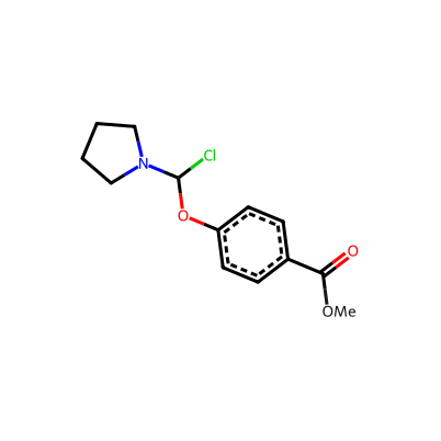 COC(=O)c1ccc(OC(Cl)N2CCCC2)cc1